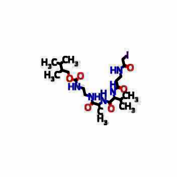 CC(C)C(C)COC(=O)NCCNC(=O)[C@H](C)NC(=O)[C@@H](NC(=O)CCNC(=O)CI)C(C)C